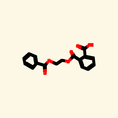 O=C(OCCOC(=O)c1ccccc1C(=O)O)c1ccccc1